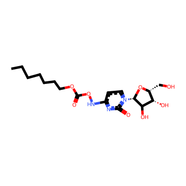 CCCCCCCOC(=O)ONc1ccn([C@@H]2O[C@H](CO)[C@H](O)C2O)c(=O)n1